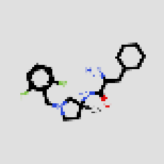 N#CC1(NC(=O)C(N)CC2CCCCC2)CCN(Cc2c(F)cccc2F)C1